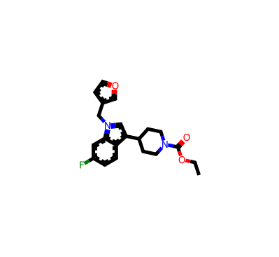 CCOC(=O)N1CCC(c2cn(Cc3ccoc3)c3cc(F)ccc23)CC1